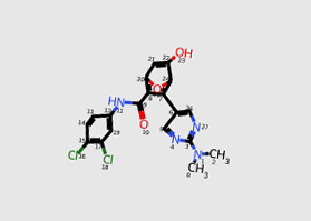 CN(C)c1ncc(-c2c(C(=O)Nc3ccc(Cl)c(Cl)c3)c3cc(O)c2o3)cn1